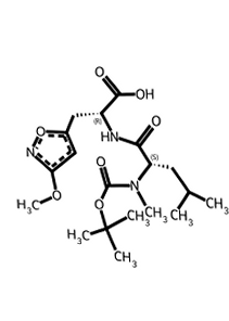 COc1cc(C[C@@H](NC(=O)[C@H](CC(C)C)N(C)C(=O)OC(C)(C)C)C(=O)O)on1